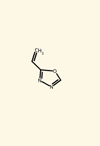 C=Cc1nnco1